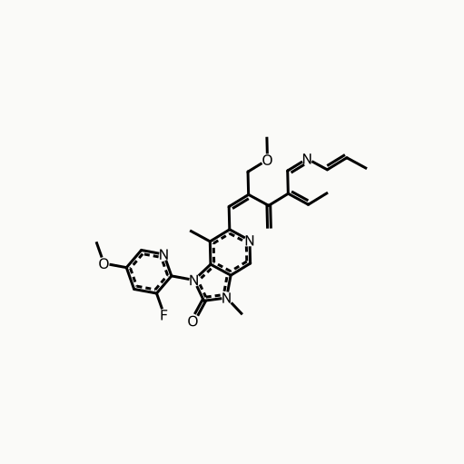 C=C(C(/C=N\C=C\C)=C/C)/C(=C\c1ncc2c(c1C)n(-c1ncc(OC)cc1F)c(=O)n2C)COC